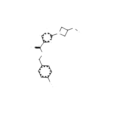 CC(=O)SC1CN(c2nc(C(=O)OCc3ccc([N+](=O)[O-])cc3)cs2)C1